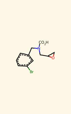 O=C(O)N(Cc1cccc(Br)c1)CC1CO1